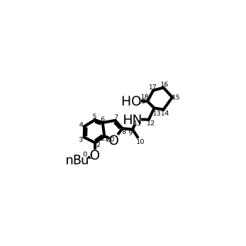 CCCCOc1cccc2cc(C(C)NCC3CCCCC3O)oc12